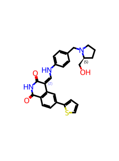 O=C1NC(=O)c2ccc(-c3cccs3)cc2/C1=C/Nc1ccc(CN2CCC[C@H]2CO)cc1